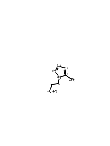 CCc1nnnn1CCC=O